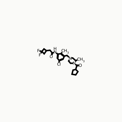 Cc1c(CN2CCN(C(=O)C3CCCC3)C(C)C2)cc(Cl)cc1NC(=O)CC1CC(F)(F)C1